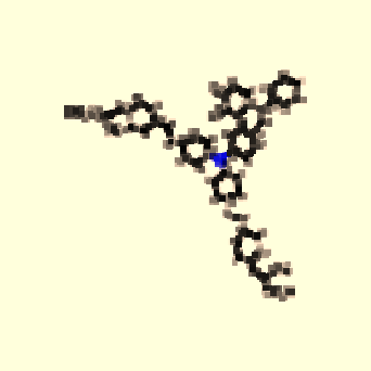 [C-]#[N+]/C(=C\c1ccc(/C=C/c2ccc(N(c3ccc(/C=C(/c4ccccc4)c4ccc(C)c(C)c4)cc3)c3ccc(/C=C/c4ccc(/C=C(\[N+]#[C-])C(=O)O)cc4)cc3)cc2)cc1)C(=O)O